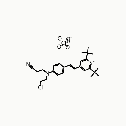 CC(C)(C)c1cc(C=Cc2ccc(N(CCCl)CCC#N)cc2)cc(C(C)(C)C)[s+]1.[O-][Cl+3]([O-])([O-])[O-]